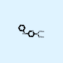 CCCCCCN(CCCCCC)c1ccc(Nc2ccccc2)cn1